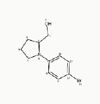 OCC1CCCN1c1ccc(Br)cc1